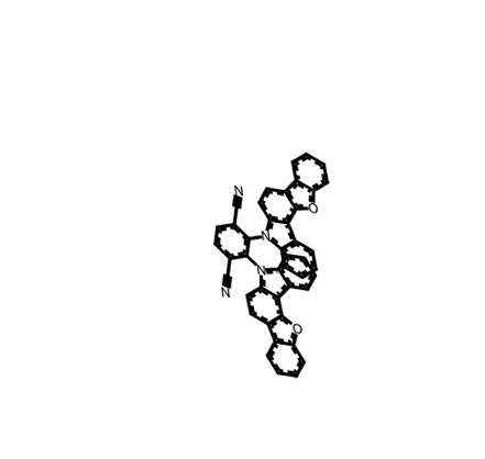 N#Cc1ccc(C#N)c(-n2c3ccccc3c3c4oc5ccccc5c4ccc32)c1-n1c2ccccc2c2c3oc4ccccc4c3ccc21